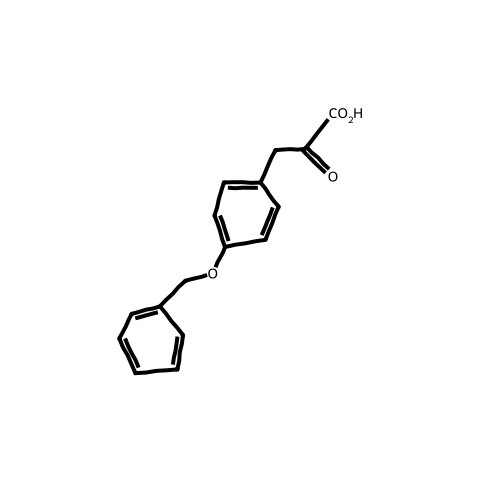 O=C(O)C(=O)Cc1ccc(OCc2ccccc2)cc1